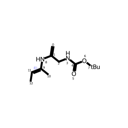 C=C(CNC(=O)OC(C)(C)C)N/C(C)=C/C